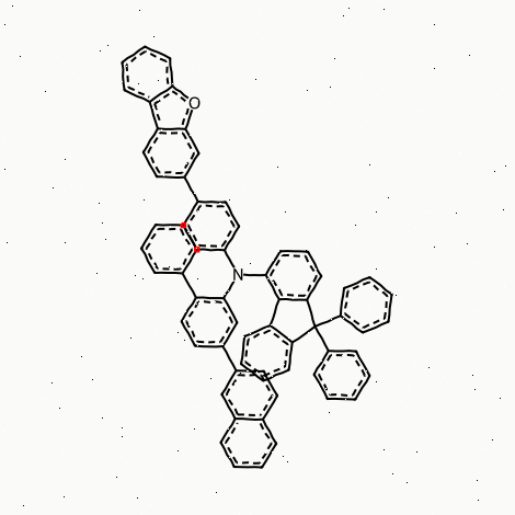 c1ccc(-c2ccc(-c3ccc4ccccc4c3)cc2N(c2ccc(-c3ccc4c(c3)oc3ccccc34)cc2)c2cccc3c2-c2ccccc2C3(c2ccccc2)c2ccccc2)cc1